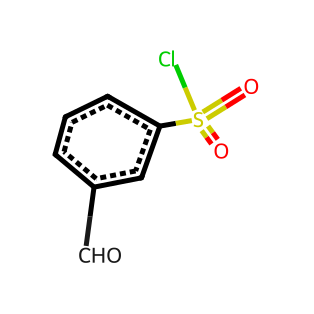 O=Cc1cccc(S(=O)(=O)Cl)c1